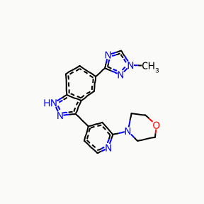 Cn1cnc(-c2ccc3[nH]nc(-c4ccnc(N5CCOCC5)c4)c3c2)n1